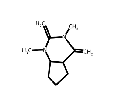 C=C1C2CCCC2N(C)C(=C)N1C